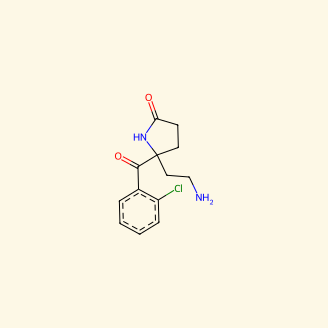 NCCC1(C(=O)c2ccccc2Cl)CCC(=O)N1